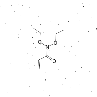 C=CC(=O)N(OCC)OCC